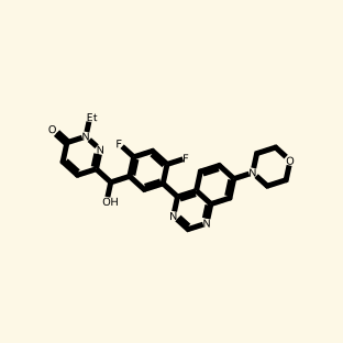 CCn1nc(C(O)c2cc(-c3ncnc4cc(N5CCOCC5)ccc34)c(F)cc2F)ccc1=O